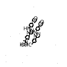 CC(=NO)c1ccc(-c2ccnc(Nc3ccc(N4CCOCC4)cc3)n2)cc1.O=CCc1ccc(-c2ccnc(Nc3ccc(N4CCOCC4)cc3)n2)cc1